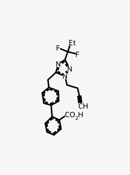 C#CCCn1nc(C(F)(F)CC)nc1Cc1ccc(-c2ccccc2C(=O)O)cc1